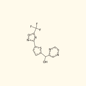 OC(c1cnccn1)c1ccc(-c2noc(C(F)(F)F)n2)s1